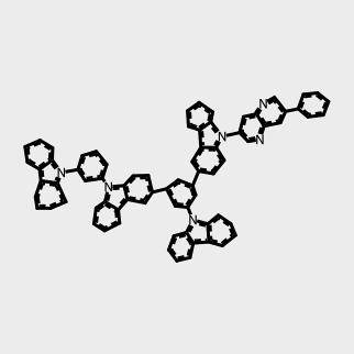 c1ccc(-c2cnc3cc(-n4c5ccccc5c5cc(-c6cc(-c7ccc8c(c7)c7ccccc7n8-c7cccc(-n8c9ccccc9c9ccccc98)c7)cc(-n7c8ccccc8c8ccccc87)c6)ccc54)cnc3c2)cc1